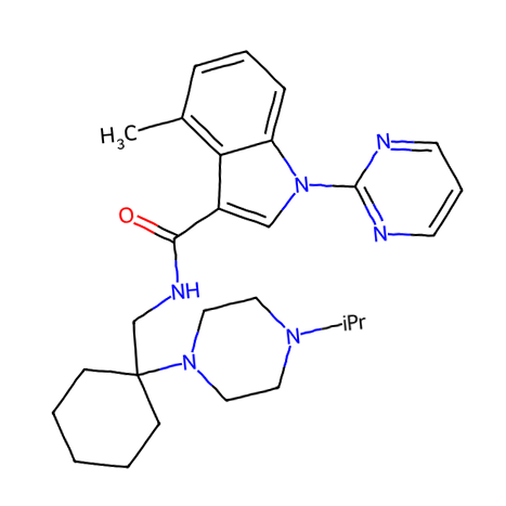 Cc1cccc2c1c(C(=O)NCC1(N3CCN(C(C)C)CC3)CCCCC1)cn2-c1ncccn1